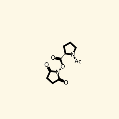 CC(=O)N1CCC[C@H]1C(=O)ON1C(=O)CCC1=O